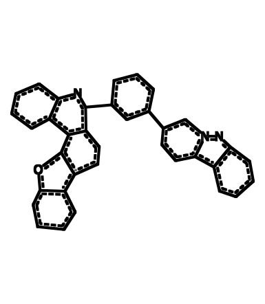 c1cc(-c2ccc3c4ccccc4nn3c2)cc(-c2nc3ccccc3c3c2ccc2c4ccccc4oc23)c1